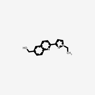 CCn1ccc(-c2ccc3cc(CO)ccc3n2)n1